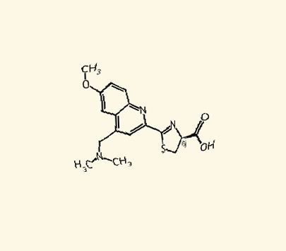 COc1ccc2nc(C3=N[C@@H](C(=O)O)CS3)cc(CN(C)C)c2c1